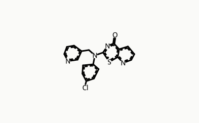 O=c1nc(N(Cc2cccnc2)c2ccc(Cl)cc2)sc2ncccc12